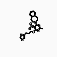 Cc1nc(OCCCn2cncn2)c([N+](=O)[O-])c(N2CCc3ccccc3CC2)n1